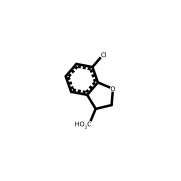 O=C(O)C1COc2c(Cl)cccc21